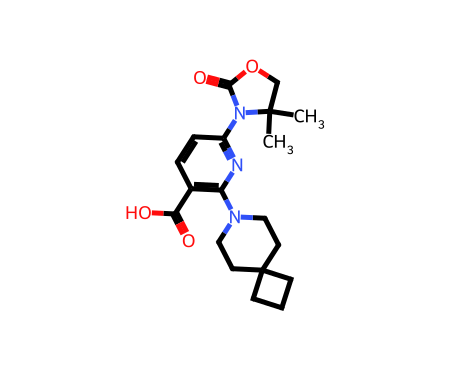 CC1(C)COC(=O)N1c1ccc(C(=O)O)c(N2CCC3(CCC3)CC2)n1